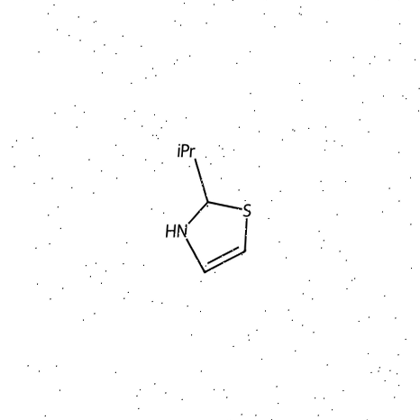 CC(C)[C]1NC=CS1